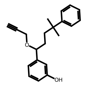 C#CCOC(CCC(C)(C)c1ccccc1)c1cccc(O)c1